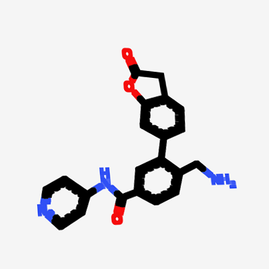 NCc1ccc(C(=O)Nc2ccncc2)cc1-c1ccc2c(c1)OC(=O)C2